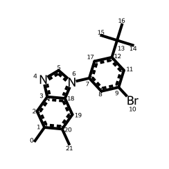 Cc1cc2ncn(-c3cc(Br)cc(C(C)(C)C)c3)c2cc1C